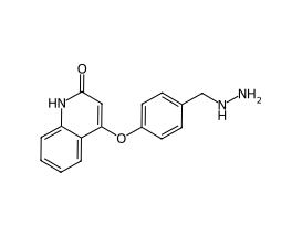 NNCc1ccc(Oc2cc(=O)[nH]c3ccccc23)cc1